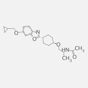 CC(=O)NC(C)CO[C@H]1CC[C@H](c2nc3ccc(OCC4CC4)cc3o2)CC1